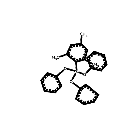 Cc1cc(C)c([Si](Oc2ccccc2)(Oc2ccccc2)Oc2ccccc2)c(C)c1